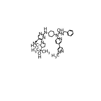 C[C@@H]1[C@H](C(C)(C)O)CCN1c1nc(N[C@H]2CC[C@H](N(C(=O)NCc3ccccc3)c3ccc(-c4cnn(C)c4)cn3)CC2)ncc1C#N